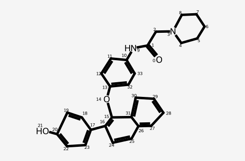 O=C(CN1CCCCC1)Nc1ccc(Oc2c(-c3ccc(O)cc3)ccc3ccccc23)cc1